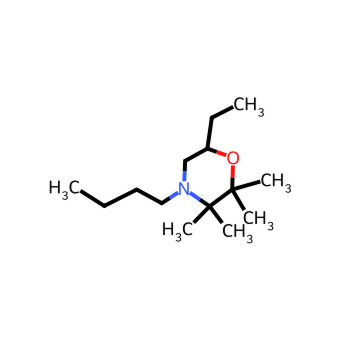 CCCCN1CC(CC)OC(C)(C)C1(C)C